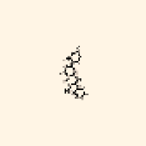 Cc1nc(-c2ccc(Cl)cc2Cl)nc(Nc2n[nH]c3ccccc23)c1C